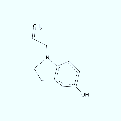 C=CCN1CCc2cc(O)ccc21